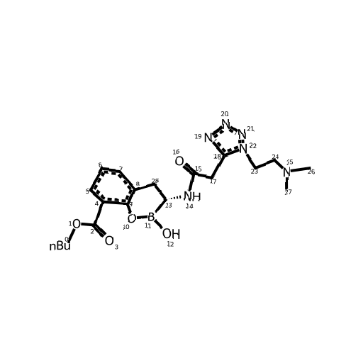 CCCCOC(=O)c1cccc2c1OB(O)[C@@H](NC(=O)Cc1nnnn1CCN(C)C)C2